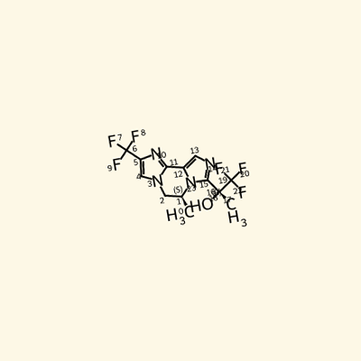 C[C@H]1Cn2cc(C(F)(F)F)nc2-c2cnc([C@@](C)(O)C(F)(F)F)n21